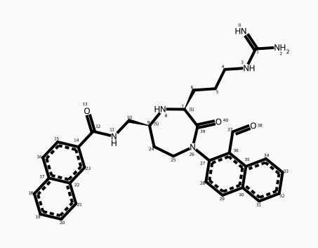 N=C(N)NCCC[C@@H]1N[C@H](CNC(=O)c2ccc3ccccc3c2)CCN(c2ccc3ccccc3c2C=O)C1=O